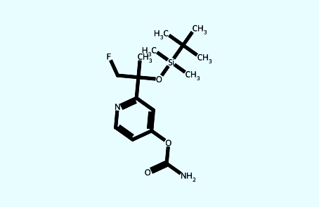 CC(CF)(O[Si](C)(C)C(C)(C)C)c1cc(OC(N)=O)ccn1